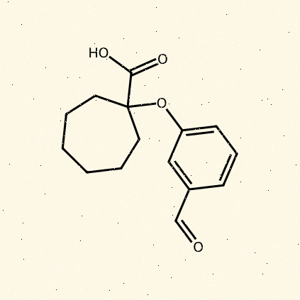 O=Cc1cccc(OC2(C(=O)O)CCCCCC2)c1